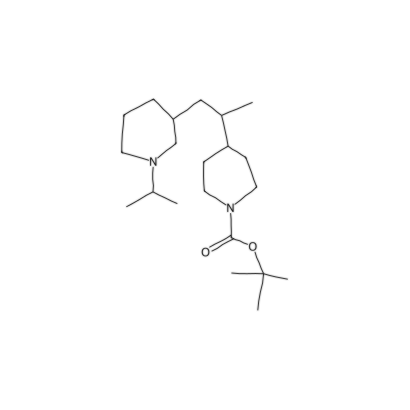 CC(CC1CCCN(C(C)C)C1)C1CCN(C(=O)OC(C)(C)C)CC1